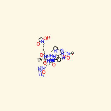 Cc1cccc(-c2nc(CN(C(=O)OCc3ccc(NC(=O)C(CCCNC(N)=O)NC(=O)[C@@H](NC(=O)CCCCCN4C(=O)C=CC4O)C(C)C)cc3)C34CC(C3)C4)[nH]c2-c2ccc3ncnn3c2)n1